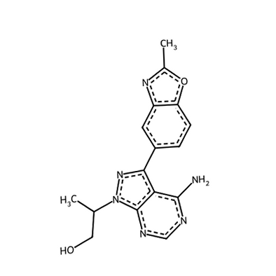 Cc1nc2cc(-c3nn(C(C)CO)c4ncnc(N)c34)ccc2o1